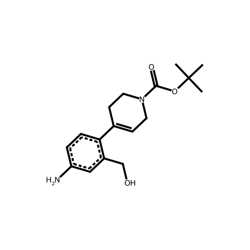 CC(C)(C)OC(=O)N1CC=C(c2ccc(N)cc2CO)CC1